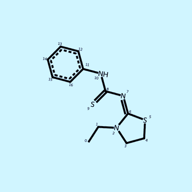 CCN1CCS/C1=N/C(=S)Nc1ccccc1